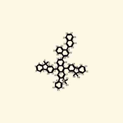 CC1(C)c2ccccc2-c2ccc(-c3c4ccc(-c5ccc(-c6ccc7ccccc7c6)c6ccccc56)cc4c(-c4ccc5c(c4)C(C)(C)c4ccccc4-5)c4cc5c(cc34)-c3ccccc3[Si]5(C)C)cc21